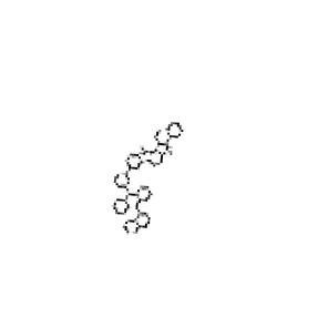 c1cc(-c2ccc3sc4c(ccc5sc6c7ccccc7ccc6c54)c3c2)cc(-c2c3ccccc3c(-c3cccc4ccccc34)c3ccccc23)c1